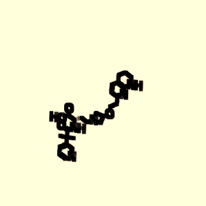 CC(C)(C(=O)N[C@@H](CCN1CC(OCCc2ccc3c(n2)NCCC3)C1)C(=O)O)c1cccnc1